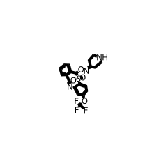 N#Cc1ccccc1C(ON=C1CCNCC1)S(=O)(=O)c1ccc(OC(F)(F)F)cc1